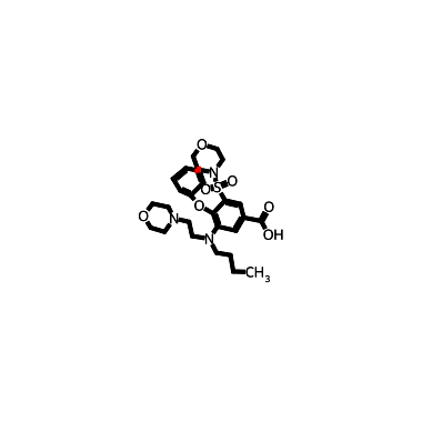 CCCCN(CCN1CCOCC1)c1cc(C(=O)O)cc(S(=O)(=O)N2CCOCC2)c1Oc1ccccc1